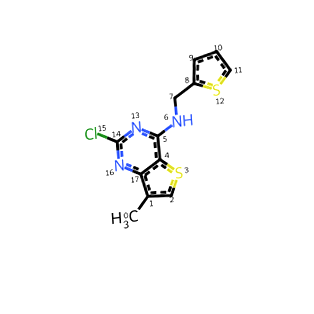 Cc1csc2c(NCc3cccs3)nc(Cl)nc12